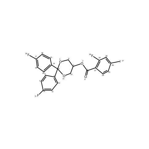 O=C(OC1COC(c2ccc(F)cc2)(c2ccc(F)cc2)OC1)c1ccc(I)cc1F